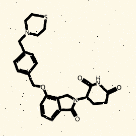 O=C1CCC(N2Cc3c(OCc4ccc(CN5CCSCC5)cc4)cccc3C2=O)C(=O)N1